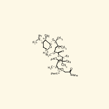 CCC[C@@H](C)[C@H](OCC(=O)NC)[C@H](C)[C@@H](O)[C@](C)(O)[C@@H](CC)OC(=O)[C@H](C)C[C@H](C)[C@H](C)O[C@@H]1O[C@H](C)C[C@H](N(C)C(C)C)[C@H]1O